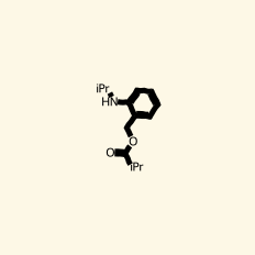 CC(C)Nc1ccccc1COC(=O)C(C)C